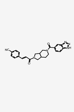 N#Cc1ccc(C=CC(=O)N2CC3CCN(C(=O)c4ccc5[nH]nnc5c4)CC3C2)cc1